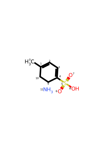 CC1=CC=C(S(=O)(=O)O)CC1.N